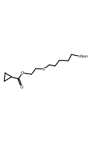 CCCCCCCCCCCCCCSCCOC(=O)C1CC1